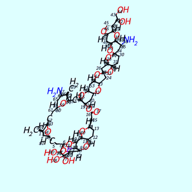 C=C1C[C@@H]2CC[C@]34OC([C@@H]5O[C@H]6CC[C@H](CC(=O)O[C@@H]7CC8OC9C[C@]%10(C[C@@H]%11O[C@@]%12(CC[C@@H]%11O%10)C[C@H](N)[C@@H]%10O[C@@H]%11[C@@H]([C@@H](O)CO)CO[C@@H]%11C[C@@H]%10O%12)O[C@@H]9C[C@@H]8O[C@H]7C[C@H]7O[C@@H](CC[C@@H]1O2)C[C@@H](N)C7=C)O[C@@H]6[C@H](O3)[C@@H]5I)C(O)(O)[C@H]4O